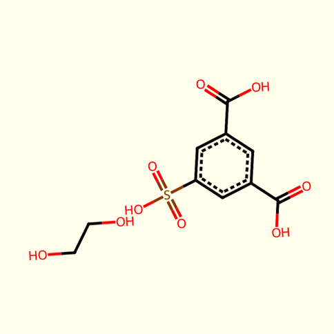 O=C(O)c1cc(C(=O)O)cc(S(=O)(=O)O)c1.OCCO